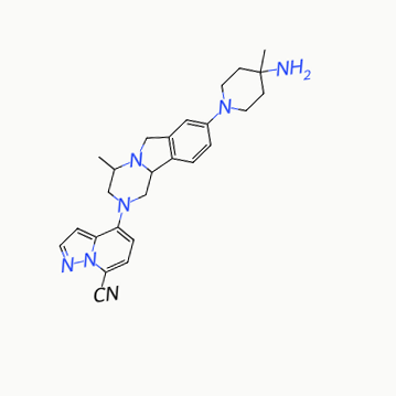 CC1CN(c2ccc(C#N)n3nccc23)CC2c3ccc(N4CCC(C)(N)CC4)cc3CN12